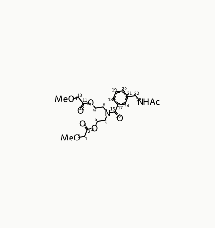 COCC(=O)OCCN(CCOC(=O)COC)C(=O)c1cccc(CNC(C)=O)c1